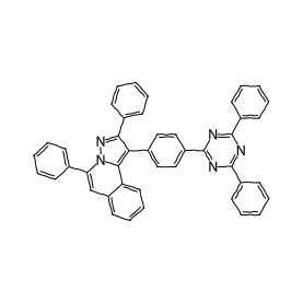 c1ccc(-c2nc(-c3ccccc3)nc(-c3ccc(-c4c(-c5ccccc5)nn5c(-c6ccccc6)cc6ccccc6c45)cc3)n2)cc1